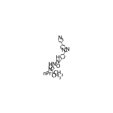 CCCC(C)(C)c1cc(NC(=O)NCc2ccc(-c3cnc4cc(-c5ccncc5)ccn34)cc2)on1